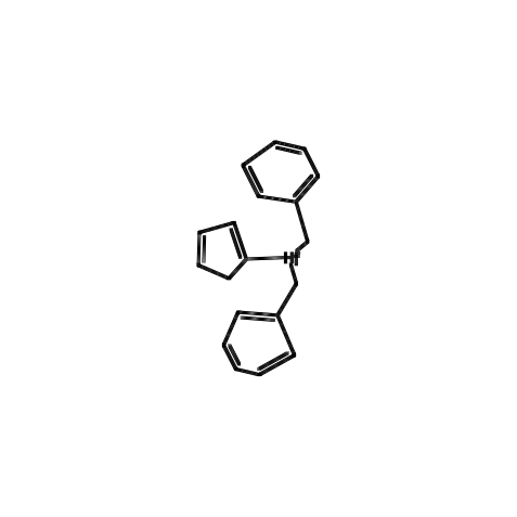 C1=CC[C]([Hf]([CH2]c2ccccc2)[CH2]c2ccccc2)=C1